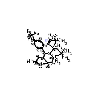 CC(C)(C)/C=C\C(CC(C)(C)C)N1CCC(F)(F)C(CC(=O)O)C1c1ccc(C(F)(F)F)cc1